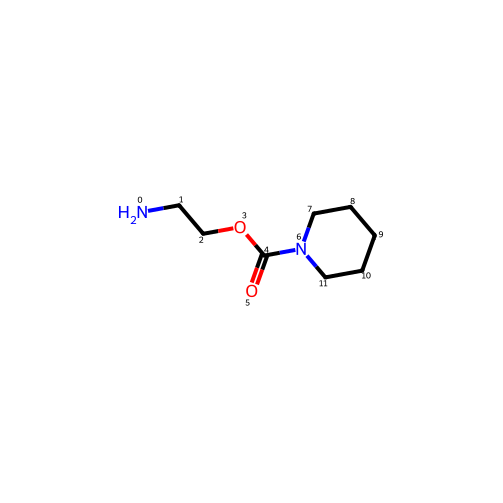 NCCOC(=O)N1CC[CH]CC1